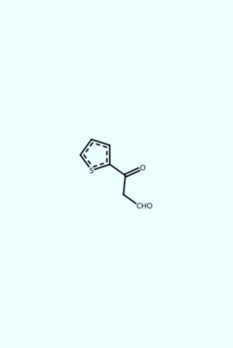 O=CCC(=O)c1cccs1